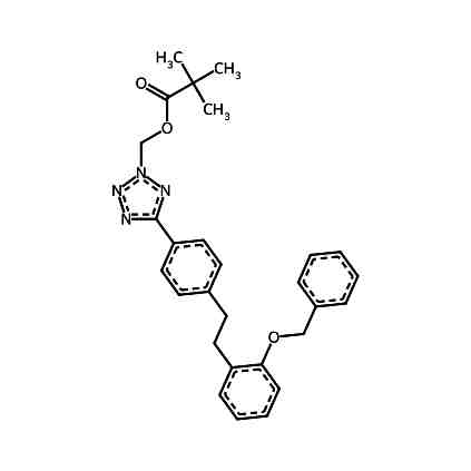 CC(C)(C)C(=O)OCn1nnc(-c2ccc(CCc3ccccc3OCc3ccccc3)cc2)n1